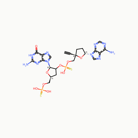 C#C[C@@]1(COP(O)(=S)OC2C[C@@H](COP(O)(O)=S)O[C@H]2n2cnc3c(=O)[nH]c(N)nc32)CC[C@H](n2cnc3c(N)ncnc32)O1